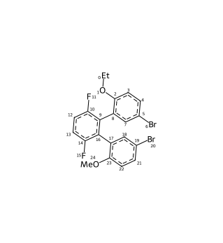 CCOc1ccc(Br)cc1-c1c(F)ccc(F)c1-c1cc(Br)ccc1OC